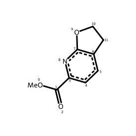 COC(=O)c1ccc2c(n1)OCC2